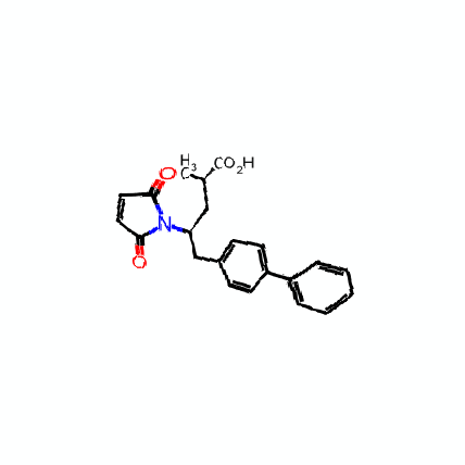 C[C@H](C[C@@H](Cc1ccc(-c2ccccc2)cc1)N1C(=O)C=CC1=O)C(=O)O